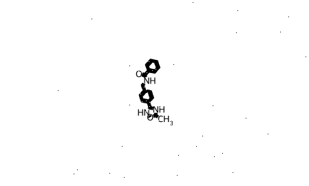 CC1NC(c2ccc(CNC(=O)c3ccccc3)cc2)NO1